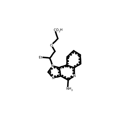 CCC(COCC(=O)O)n1cnc2c(N)nc3ccccc3c21